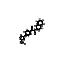 Nc1nc(-c2ccc(NC(=O)c3ccc4ccccc4c3)cc2)cs1